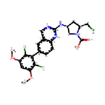 COc1cc(OC)c(Cl)c(-c2ccc3nc(N[C@H]4C[C@@H](CBr)N(C(=O)O)C4)ncc3c2)c1Cl